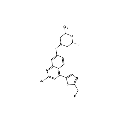 CC(=O)c1cc(-c2cnc(CF)s2)c2ccc(CN3C[C@@H](C)O[C@@H](C(F)(F)F)C3)cc2n1